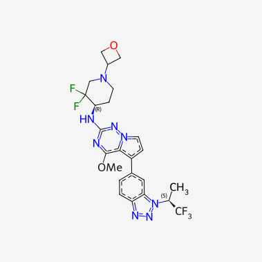 COc1nc(N[C@@H]2CCN(C3COC3)CC2(F)F)nn2ccc(-c3ccc4nnn([C@@H](C)C(F)(F)F)c4c3)c12